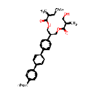 C=C(CO)C(=O)OCC(COC(=O)C(=C)COC)c1ccc(C2C=CC(c3ccc(CCCCC)cc3)=CC2)cc1